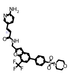 Nc1ccc(/C=C/C(=O)NCc2cc3cc(-c4ccc(S(=O)(=O)N5CCOCC5)cc4)cc(C(F)(F)F)c3o2)cn1